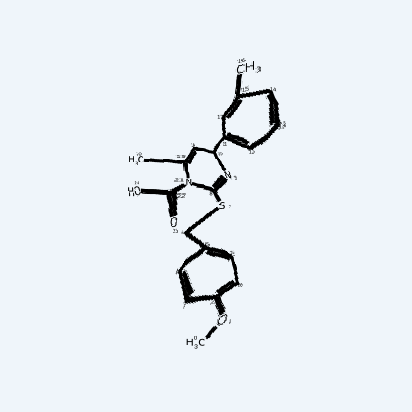 COc1ccc(CSC2=NC(c3cccc(C)c3)C=C(C)N2C(=O)O)cc1